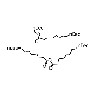 CCCCCCCCCCCCCCCCCC(=O)OC(=O)CCCCCCCCCCCCCCCCC.CCCCCCCCCCCCCCCCCC(=O)OCCCCCCCCCCC